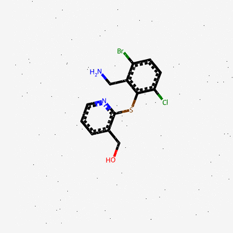 NCc1c(Br)ccc(Cl)c1Sc1ncccc1CO